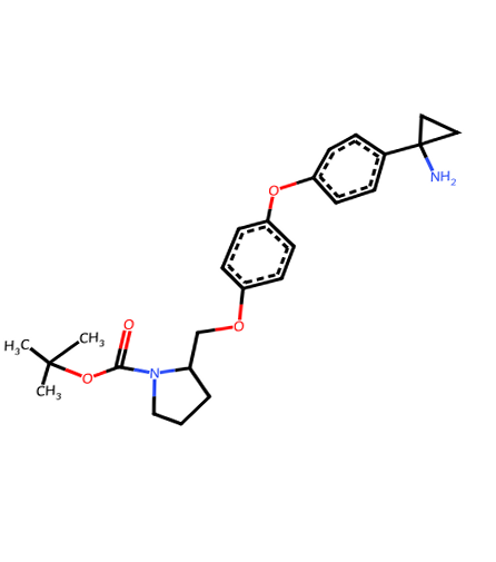 CC(C)(C)OC(=O)N1CCCC1COc1ccc(Oc2ccc(C3(N)CC3)cc2)cc1